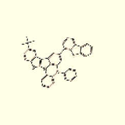 CC(C)(C)c1ccc2sc3c(c2c1)-c1cc(-c2cccc4c2sc2ccccc24)cc2c1B3c1ccccc1N2c1ccccc1